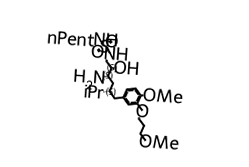 CCCCCNS(=O)(=O)NC[C@H](O)[C@@H](N)C[C@H](Cc1ccc(OC)c(OCCCOC)c1)C(C)C